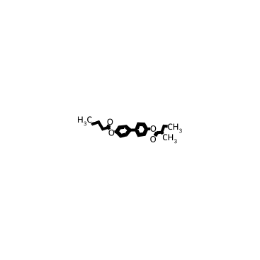 CCCCC(=O)Oc1ccc(-c2ccc(OC(=O)C(C)CC)cc2)cc1